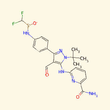 CC(C)(C)n1nc(-c2ccc(N[S+]([O-])C(F)F)cc2)c(C=O)c1Nc1cccc(C(N)=O)n1